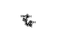 CNS(=N)(=O)OCc1ccc(OCC(=O)N(C)C(CN2CC[C@H](O)C2)c2ccccc2)c2c1NCCC2